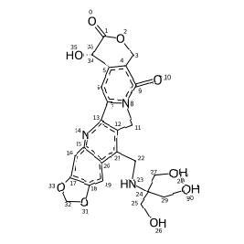 O=C1OCc2c(cc3n(c2=O)Cc2c-3nc3cc4c(cc3c2CNC(CO)(CO)CO)OCO4)[C@@H]1O